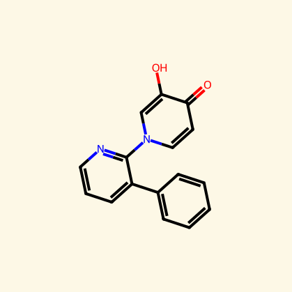 O=c1ccn(-c2ncccc2-c2ccccc2)cc1O